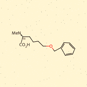 CN[C@@H](CCCCOCc1ccccc1)C(=O)O